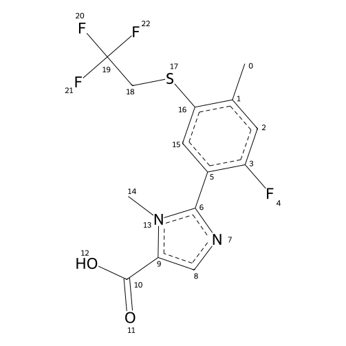 Cc1cc(F)c(-c2ncc(C(=O)O)n2C)cc1SCC(F)(F)F